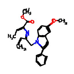 C=C/C(Cn1c(-c2ccccc2)cc2cc(OC)ccc21)=N\C(=C/C)C(=O)OC